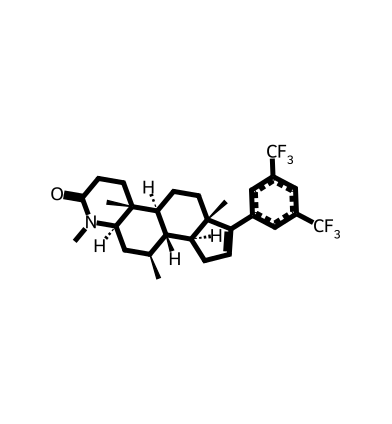 C[C@H]1C[C@H]2N(C)C(=O)CC[C@]2(C)[C@H]2CC[C@]3(C)C(c4cc(C(F)(F)F)cc(C(F)(F)F)c4)=CC[C@H]3[C@H]12